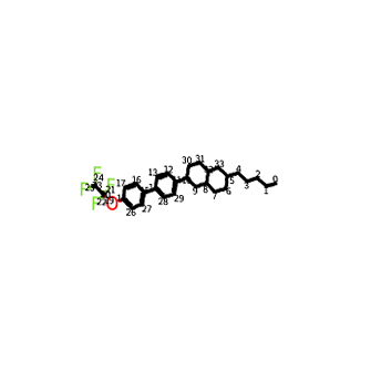 CCCCCC1CCC2CC(c3ccc(-c4ccc(OC(F)(F)C(F)F)cc4)cc3)CCC2C1